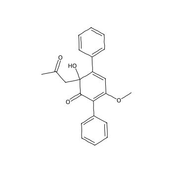 COC1=C(c2ccccc2)C(=O)C(O)(CC(C)=O)C(c2ccccc2)=C1